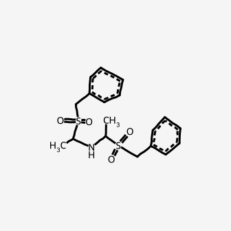 CC(NC(C)S(=O)(=O)Cc1ccccc1)S(=O)(=O)Cc1ccccc1